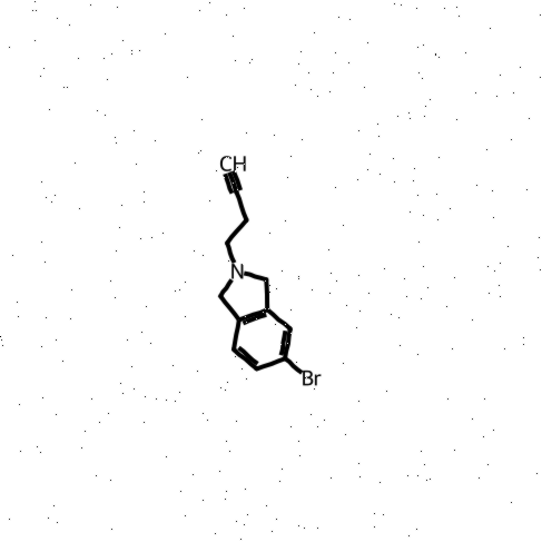 C#CCCN1Cc2ccc(Br)cc2C1